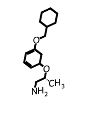 C[C@H](CN)OC1C=CC=C(OCC2CCCCC2)C1